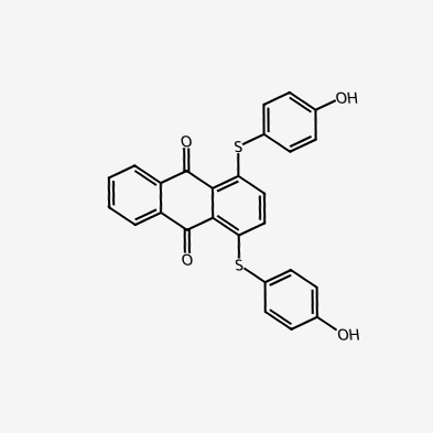 O=C1c2ccccc2C(=O)c2c(Sc3ccc(O)cc3)ccc(Sc3ccc(O)cc3)c21